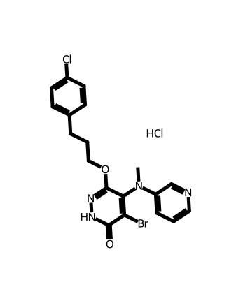 CN(c1cccnc1)c1c(OCCCc2ccc(Cl)cc2)n[nH]c(=O)c1Br.Cl